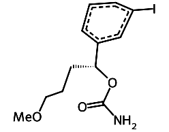 COCCC[C@@H](OC(N)=O)c1cccc(I)c1